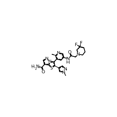 Cc1ncc(NC(=O)CN2CCCC(F)(F)C2)cc1-c1c(-c2cnn(C)c2)sc2c(C(N)=O)cnn12